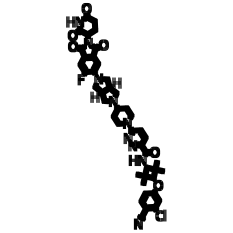 CC1(C)[C@H](NC(=O)c2ccc(N3CCC(N4C[C@H]5CN(c6cc7c(cc6F)C(=O)N(C6CCC(=O)NC6=O)C7=O)C[C@H]5C4)CC3)nn2)C(C)(C)[C@H]1Oc1ccc(C#N)c(Cl)c1